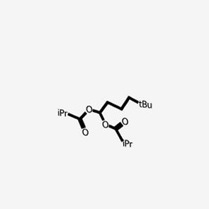 CC(C)C(=O)OC(CCCC(C)(C)C)OC(=O)C(C)C